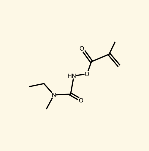 C=C(C)C(=O)ONC(=O)N(C)CC